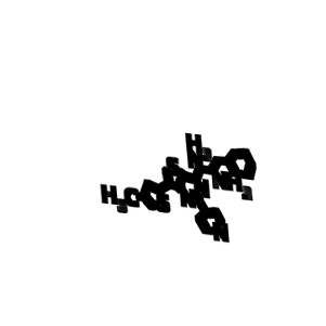 Cc1csc(-c2csc3c(C(N)C(N)Cc4ccccc4)nc(-c4ccncc4)nc23)c1